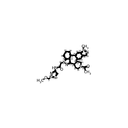 COCn1ncc(NC(=O)Cn2nc(C3CCN(C(C)=O)CC3)c3c(-c4cc5c(cnn5C)cc4F)cccc32)n1